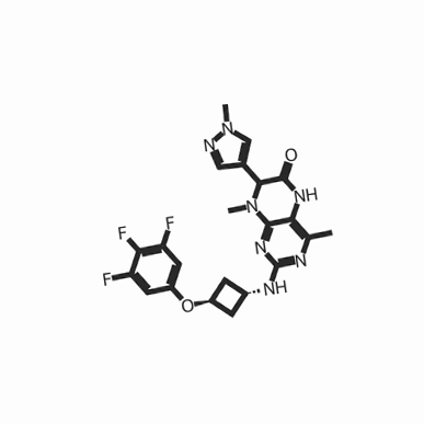 Cc1nc(N[C@H]2C[C@H](Oc3cc(F)c(F)c(F)c3)C2)nc2c1NC(=O)C(c1cnn(C)c1)N2C